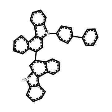 c1ccc(-c2ccc(-n3c4ccccc4c4c5ccccc5c(-c5cc6[nH]c7ccccc7c6c6ccccc56)cc43)cc2)cc1